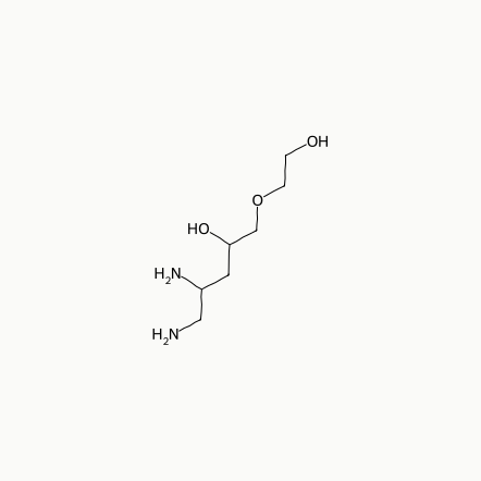 NCC(N)CC(O)COCCO